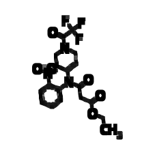 CCOC(=O)CC(=O)N(C1=CCN(C(=O)C(F)(F)F)CC1)c1ccccc1[N+](=O)[O-]